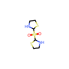 O=S(=O)(C1NCCS1)C1NCCS1